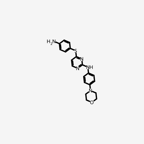 Nc1ccc(Sc2ccnc(Nc3ccc(N4CCOCC4)cc3)n2)cc1